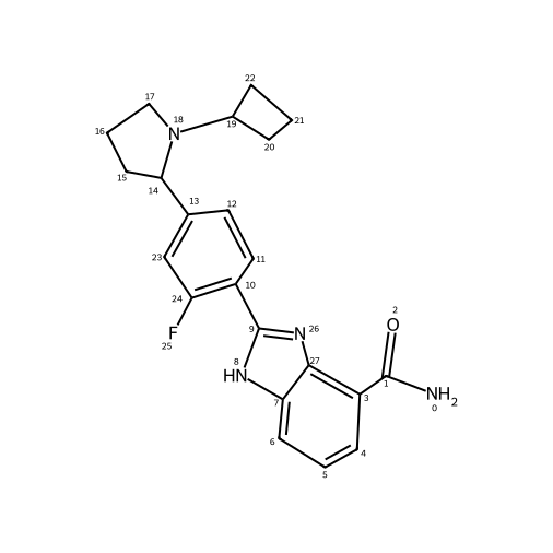 NC(=O)c1cccc2[nH]c(-c3ccc(C4CCCN4C4CCC4)cc3F)nc12